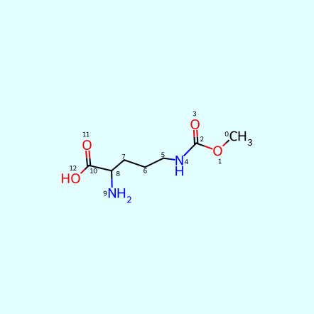 COC(=O)NCCCC(N)C(=O)O